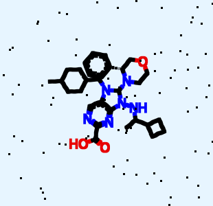 CC1CCC(CN2c3cnc(C(=O)O)nc3N(NC(C)C3CCC3)C2N2CCOC[C@H]2c2ccccc2)CC1